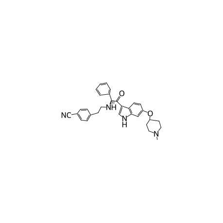 CN1CCC(Oc2ccc3c(C(=O)[C@@H](NCCc4ccc(C#N)cc4)c4ccccc4)c[nH]c3c2)CC1